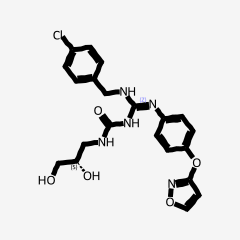 O=C(NC[C@H](O)CO)N/C(=N\c1ccc(Oc2ccon2)cc1)NCc1ccc(Cl)cc1